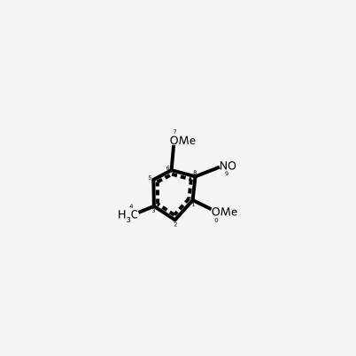 COc1cc(C)cc(OC)c1N=O